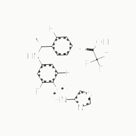 C[C@H](Nc1cc(F)c(S(=O)(=O)Nc2cscn2)c(F)c1)c1ccccc1F.O=C(O)C(F)(F)F